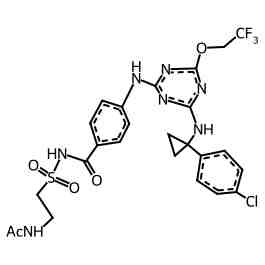 CC(=O)NCCS(=O)(=O)NC(=O)c1ccc(Nc2nc(NC3(c4ccc(Cl)cc4)CC3)nc(OCC(F)(F)F)n2)cc1